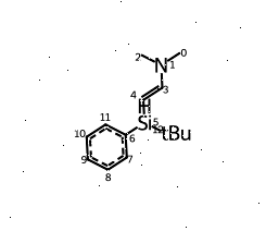 CN(C)C=C[SiH](c1ccccc1)C(C)(C)C